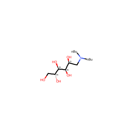 CCCCN(CCCC)C[C@H](O)[C@@H](O)[C@H](O)[C@H](O)CO